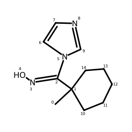 CC1(/C(=N/O)n2ccnc2)CCCCC1